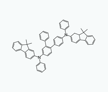 CC1(C)c2ccccc2-c2ccc(N(c3ccccc3)c3ccc(-c4ccc(N(C5=CC=C6c7ccccc7C(C)(C)C6C5)c5ccccc5)cc4)c(-c4ccccc4)c3)cc21